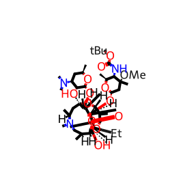 C=C1CO[C@@H]2[C@@H](C)CN(C)[C@H](C)C[C@@](C)(OC1)[C@H](O[C@@H]1O[C@H](C)C[C@H](N(C)C)[C@H]1O)[C@@H](C)[C@H](O[C@H]1C[C@@](C)(OC)[C@H](NC(=O)OC(C)(C)C)[C@H](C)O1)[C@@H](C)C(=O)O[C@H](CC)[C@@]2(C)O